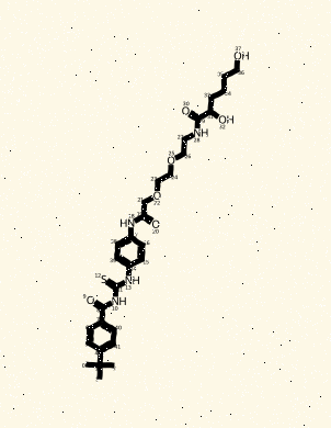 CC(C)(C)c1ccc(C(=O)NC(=S)Nc2ccc(NC(=O)COCCOCCNC(=O)C(O)CCCCO)cc2)cc1